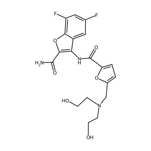 NC(=O)c1oc2c(F)cc(F)cc2c1NC(=O)c1ccc(CN(CCO)CCO)o1